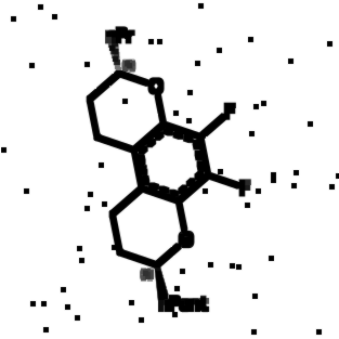 CCCCC[C@H]1CCc2c3c(c(F)c(F)c2O1)O[C@@H](CCC)CC3